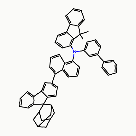 CC1(C)c2ccccc2-c2cccc(N(c3cccc(-c4ccccc4)c3)c3cccc4c(-c5ccc6c(c5)-c5ccccc5C65C6CC7CC(C6)CC5C7)cccc34)c21